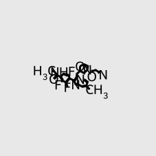 CNC(=O)c1cc(F)c(-c2nc3cc(C)ccn3c2CC2CN(C(=O)CC#N)CCO2)c(F)c1F